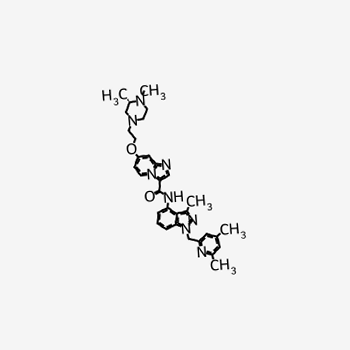 Cc1cc(C)nc(Cn2nc(C)c3c(NC(=O)c4cnc5cc(OCCN6CCN(C)[C@@H](C)C6)ccn45)cccc32)c1